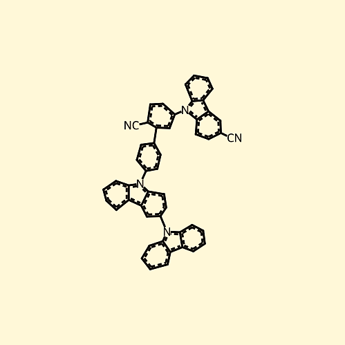 N#Cc1ccc2c(c1)c1ccccc1n2-c1ccc(C#N)c(-c2ccc(-n3c4ccccc4c4cc(-n5c6ccccc6c6ccccc65)ccc43)cc2)c1